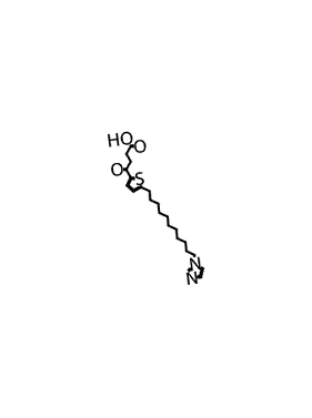 O=C(O)CCC(=O)c1ccc(CCCCCCCCCCCn2ccnc2)s1